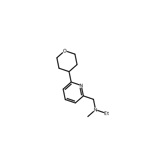 CCN(C)Cc1cccc(C2CCOCC2)n1